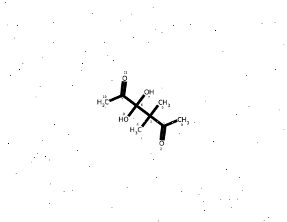 CC(=O)C(C)(C)C(O)(O)C(C)=O